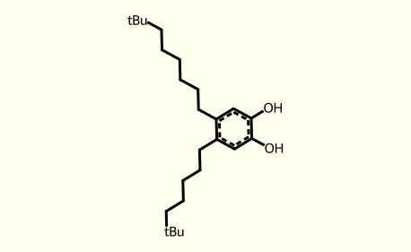 CC(C)(C)CCCCCCc1cc(O)c(O)cc1CCCCCC(C)(C)C